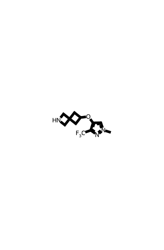 Cn1cc(OC2CC3(CNC3)C2)c(C(F)(F)F)n1